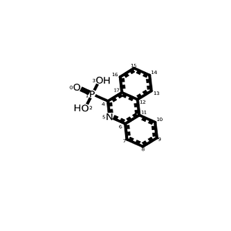 O=P(O)(O)c1nc2ccccc2c2ccccc12